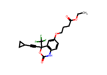 CCOC(=O)CCCOc1ccc2c(c1)C(C#CC1CC1)(C(F)(F)F)OC(=O)N2